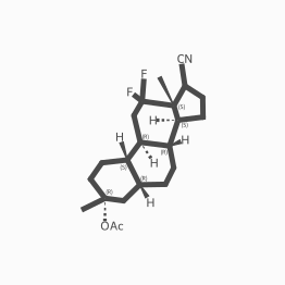 CC(=O)O[C@]1(C)CC[C@H]2[C@H](CC[C@@H]3[C@@H]2CC(F)(F)[C@]2(C)C(C#N)CC[C@@H]32)C1